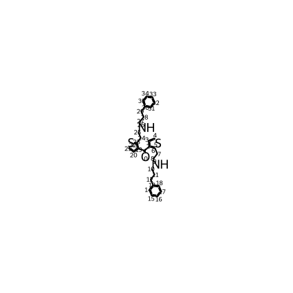 O=C(c1ccsc1CCNCCCc1ccccc1)c1ccsc1CCNCCCc1ccccc1